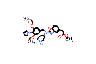 CCOc1cc(CN(c2nc3cc(CC(=O)OC)ccc3o2)C2CCNCC2)cc(OCC)c1-n1cccc1